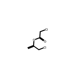 C=C(CCl)OC(=O)CCl